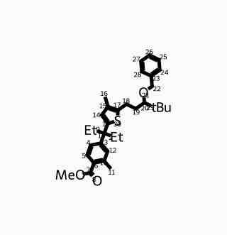 CCC(CC)(c1ccc(C(=O)OC)c(C)c1)c1cc(C)c(CCC(OCc2ccccc2)C(C)(C)C)s1